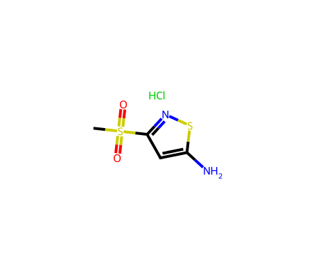 CS(=O)(=O)c1cc(N)sn1.Cl